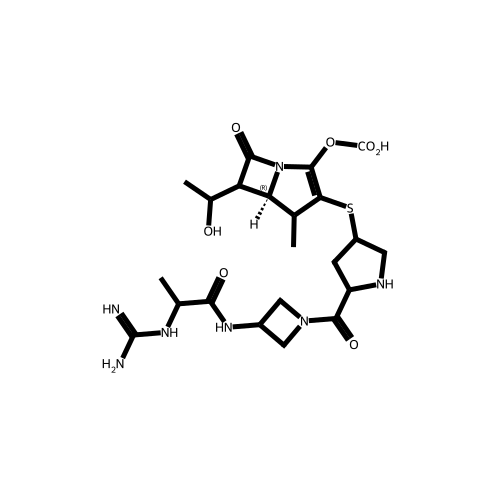 CC(NC(=N)N)C(=O)NC1CN(C(=O)C2CC(SC3=C(OC(=O)O)N4C(=O)C(C(C)O)[C@@H]4C3C)CN2)C1